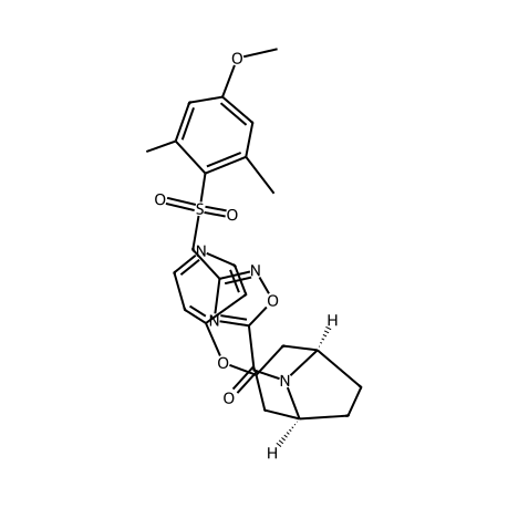 COc1cc(C)c(S(=O)(=O)Cc2noc(C(=O)N3[C@@H]4CC[C@H]3CC(Oc3ccncc3)C4)n2)c(C)c1